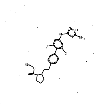 C=C(OC(C)(C)C)N1CCCC1CCc1ccc(-c2c(Cl)cc(Nc3n[nH]c(N)n3)cc2C(F)(F)F)cc1